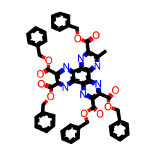 Cc1nc2c(nc1C(=O)OCc1ccccc1)c1nc(C(=O)OCc3ccccc3)c(C(=O)OCc3ccccc3)nc1c1nc(C(=O)OCc3ccccc3)c(C(=O)OCc3ccccc3)nc21